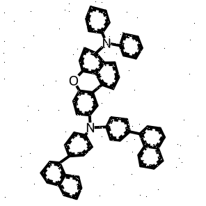 c1ccc(N(c2ccccc2)c2ccc3c4c(cccc24)-c2cc(N(c4ccc(-c5cccc6ccccc56)cc4)c4ccc(-c5cccc6ccccc56)cc4)ccc2O3)cc1